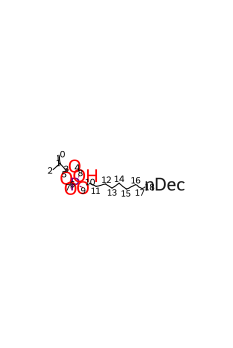 C=C(C)C(=O)OP(=O)(O)OCCCCCCCCCCCCCCCCCC